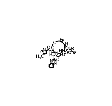 Cc1cc(C(=O)N[C@H]2CCCCCC(F)(F)C[C@@H]3C[C@@]3(C(=O)NS(=O)(=O)C3CC3)NC(=O)[C@@H]3C[C@@H](Oc4nc5ccccc5nc4C)CN3C2=O)no1